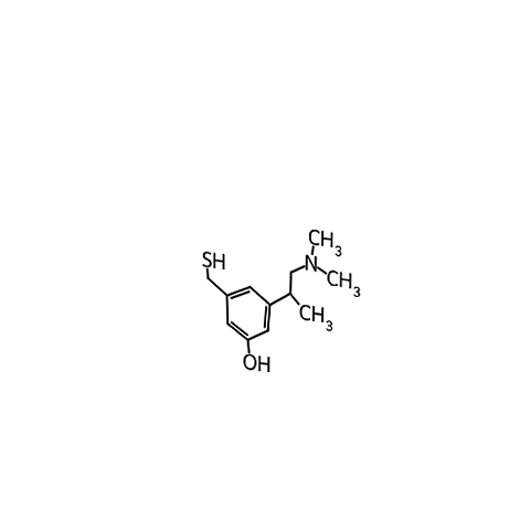 CC(CN(C)C)c1cc(O)cc(CS)c1